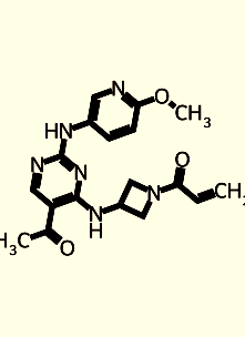 C=CC(=O)N1CC(Nc2nc(Nc3ccc(OC)nc3)ncc2C(C)=O)C1